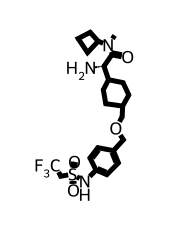 CN(C(=O)[C@@H](N)C1CCC(COCc2ccc(NS(=O)(=O)CC(F)(F)F)cc2)CC1)C1CCC1